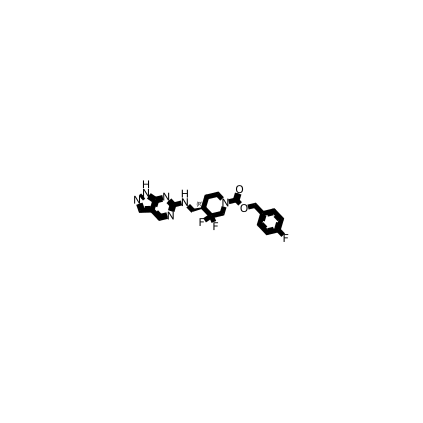 O=C(OCc1ccc(F)cc1)N1CC[C@H](CNc2ncc3cn[nH]c3n2)C(F)(F)C1